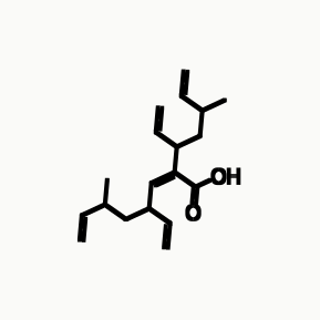 C=CC(C)CC(C=C)C=C(C(=O)O)C(C=C)CC(C)C=C